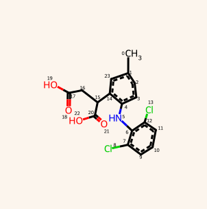 Cc1ccc(Nc2c(Cl)cccc2Cl)c(C(CC(=O)O)C(=O)O)c1